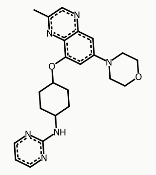 Cc1cnc2cc(N3CCOCC3)cc(OC3CCC(Nc4ncccn4)CC3)c2n1